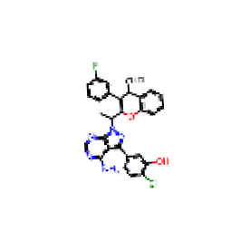 CC(C1=C(c2cccc(F)c2)C(C=O)c2ccccc2O1)n1nc(-c2ccc(Cl)c(O)c2)c2c(N)ncnc21